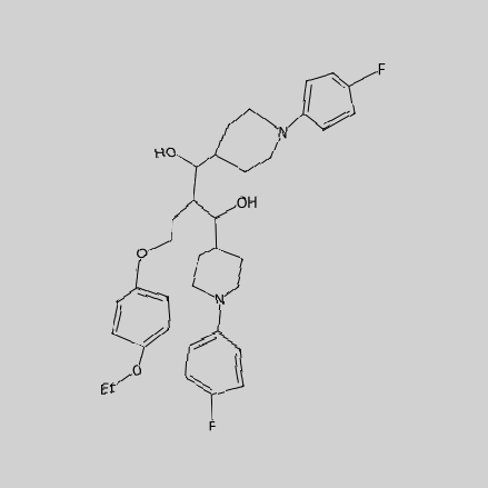 CCOc1ccc(OCCC(C(O)C2CCN(c3ccc(F)cc3)CC2)C(O)C2CCN(c3ccc(F)cc3)CC2)cc1